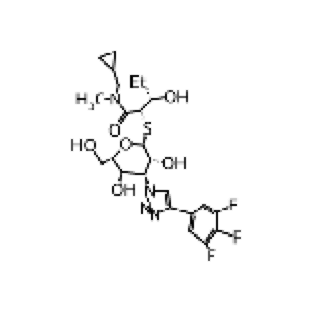 CC[C@H](O)[C@H](S[C@@H]1O[C@H](CO)[C@H](O)[C@H](n2cc(-c3cc(F)c(F)c(F)c3)nn2)[C@H]1O)C(=O)N(C)CC1CC1